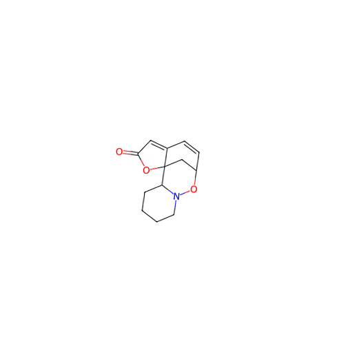 O=C1C=C2C=CC3CC2(O1)C1CCCCN1O3